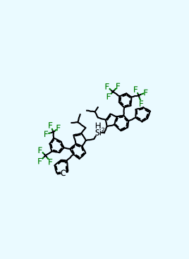 CC(C)CC1=Cc2c(ccc(-c3ccccc3)c2-c2cc(C(F)(F)F)cc(C(F)(F)F)c2)C1C[SiH2]CC1C(CC(C)C)=Cc2c1ccc(-c1ccccc1)c2-c1cc(C(F)(F)F)cc(C(F)(F)F)c1